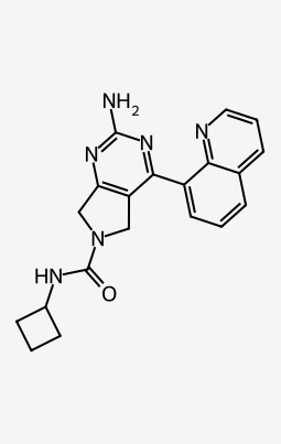 Nc1nc2c(c(-c3cccc4cccnc34)n1)CN(C(=O)NC1CCC1)C2